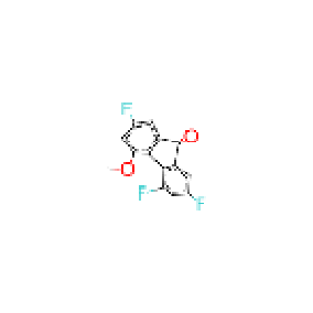 COc1cc(F)cc2c1-c1c(F)cc(F)cc1C2=O